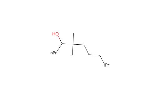 CCCC(O)C(C)(C)CCCC(C)C